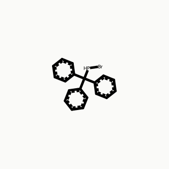 BrPC(c1ccccc1)(c1ccccc1)c1ccccc1